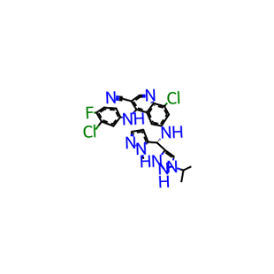 CC(C)N1C=C([C@@H](Nc2cc(Cl)c3ncc(C#N)c(Nc4ccc(F)c(Cl)c4)c3c2)c2ccnn2C)NN1